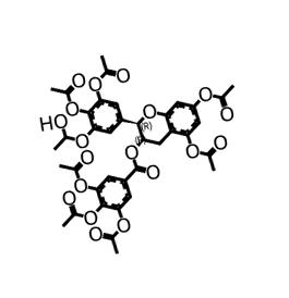 CC(=O)Oc1cc(OC(C)=O)c2c(c1)O[C@H](c1cc(OC(C)=O)c(OC(C)=O)c(OC(C)O)c1)[C@H](OC(=O)c1cc(OC(C)=O)c(OC(C)=O)c(OC(C)=O)c1)C2